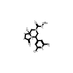 CC(C)(C)OC(=O)N1CC(c2cc(Cl)nc(Br)c2)N2C(=O)CC[C@@H]2C1